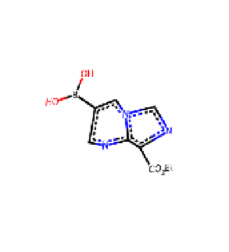 CCOC(=O)c1ncn2cc(B(O)O)cnc12